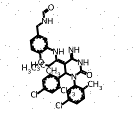 COc1ccc(CNC=O)cc1N/C(=C1\C(=N)NC(=O)N(c2cc(Cl)ccc2C)C1c1ccc(Cl)cc1C)C(C)C